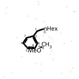 CCCCCCCc1ccccc1.COC